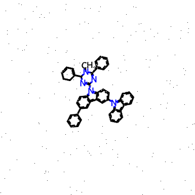 CN1C(c2ccccc2)=NC(n2c3ccc(-c4ccccc4)cc3c3cc(-n4c5ccccc5c5ccccc54)ccc32)=NC1C1=CC=CCC1